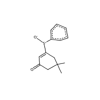 CC1(C)CC(=O)C=C([S+]([O-])c2ccccc2)C1